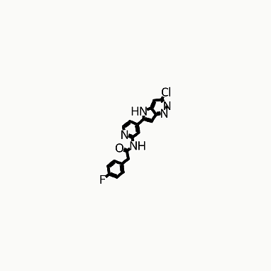 O=C(Cc1ccc(F)cc1)Nc1cc(-c2cc3nnc(Cl)cc3[nH]2)ccn1